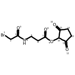 O=C(CBr)NCCC(=O)OC1C(=O)CCC1=O